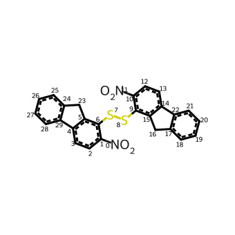 O=[N+]([O-])c1ccc2c(c1SSc1c([N+](=O)[O-])ccc3c1Cc1ccccc1-3)Cc1ccccc1-2